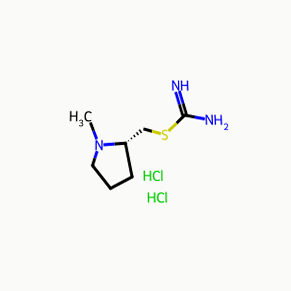 CN1CCC[C@H]1CSC(=N)N.Cl.Cl